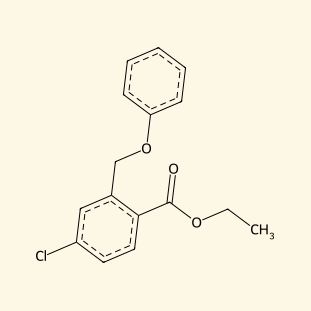 CCOC(=O)c1ccc(Cl)cc1COc1ccccc1